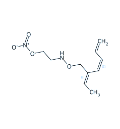 C=C/C=C\C(=C/C)CONCCO[N+](=O)[O-]